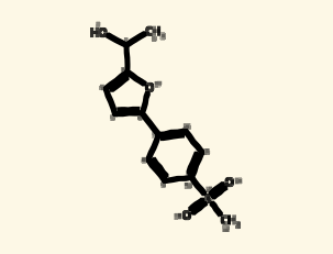 CC(O)c1ccc(-c2ccc(S(C)(=O)=O)cc2)o1